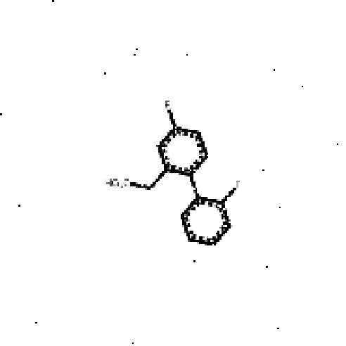 O=C(O)Cc1cc(F)ccc1-c1ccccc1F